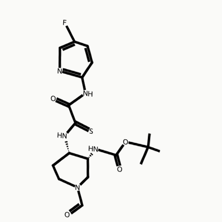 CC(C)(C)OC(=O)N[C@@H]1CN(C=O)CC[C@@H]1NC(=S)C(=O)Nc1ccc(F)cn1